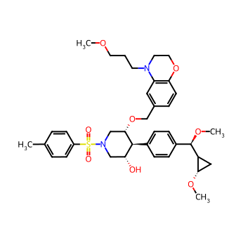 COCCCN1CCOc2ccc(CO[C@H]3CN(S(=O)(=O)c4ccc(C)cc4)C[C@@H](O)[C@@H]3c3ccc([C@@H](OC)C4C[C@@H]4OC)cc3)cc21